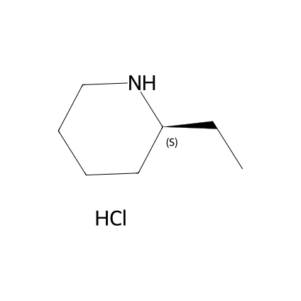 CC[C@H]1CCCCN1.Cl